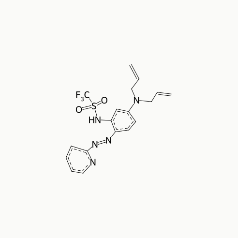 C=CCN(CC=C)c1ccc(N=Nc2ccccn2)c(NS(=O)(=O)C(F)(F)F)c1